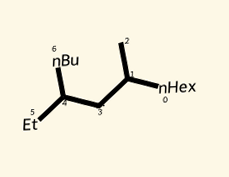 CCCCCCC(C)[CH]C(CC)CCCC